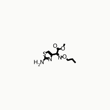 CCCO/N=C(\C(=O)OC)c1csc(N)n1